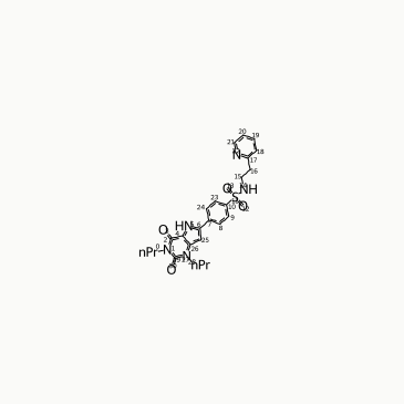 CCCn1c(=O)c2[nH]c(-c3ccc(S(=O)(=O)NCCc4ccccn4)cc3)cc2n(CCC)c1=O